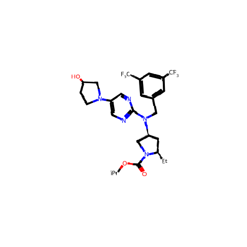 CC[C@@H]1C[C@H](N(Cc2cc(C(F)(F)F)cc(C(F)(F)F)c2)c2ncc(N3CCC(O)C3)cn2)CN1C(=O)OC(C)C